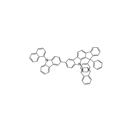 c1ccc(C2(c3ccccc3)c3ccccc3-c3ccc4c5cc(-c6ccc7c(c6)c6ccccc6n7-c6cccc7ccccc67)ccc5n(-c5ccc6ccccc6c5)c4c32)cc1